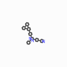 c1ccc(-c2nc(-c3ccc(-c4ccncc4)cc3)cc(-c3ccc(-c4ccc5c6ccccc6c6ccccc6c5c4)cc3)n2)cc1